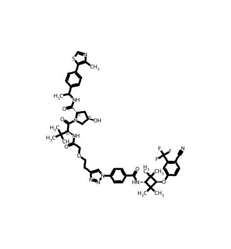 Cc1ncsc1-c1ccc(C(C)NC(=O)[C@@H]2C[C@@H](O)CN2C(=O)[C@@H](NC(=O)COCCc2cn(-c3ccc(C(=O)N[C@H]4C(C)(C)[C@H](Oc5ccc(C#N)c(C(F)(F)F)c5)C4(C)C)cc3)nn2)C(C)(C)C)cc1